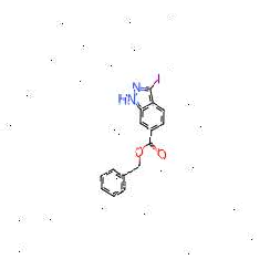 O=C(OCc1ccccc1)c1ccc2c(I)n[nH]c2c1